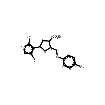 CCOC(=O)C1CC(c2c(F)csc2Cl)CC1COc1ccc(F)cc1